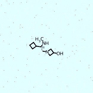 CN[C@H](CN1CC(O)C1)C1CCC1